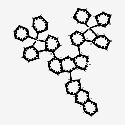 c1ccc([Si]2(c3ccccc3)c3ccccc3-c3c(-c4cccc5c(-c6ccc7cc8ccccc8cc7c6)c6cccc(-c7cccc8c7-c7ccccc7[Si]8(c7ccccc7)c7ccccc7)c6cc45)cccc32)cc1